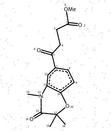 COC(=O)CCC(=O)c1ccc2c(c1)N(C)C(=O)C(C)(C)O2